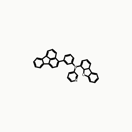 C1=CC2c3ccccc3OC2C(N(c2cccnc2)c2cccc(-c3ccc4c5c(cccc35)-c3ccccc3-4)c2)=C1